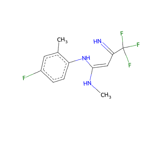 CN/C(=C/C(=N)C(F)(F)F)Nc1ccc(F)cc1C